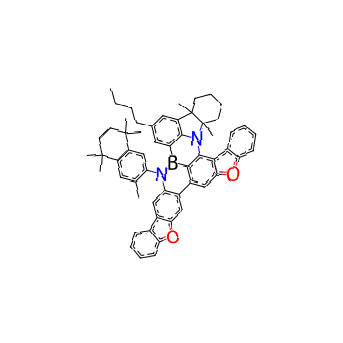 CCCCc1cc2c3c(c1)C1(C)CCCCC1(C)N3c1c3c(cc4oc5ccccc5c14)-c1cc4oc5ccccc5c4cc1N(c1cc4c(cc1C)C(C)(C)CCC4(C)C)B23